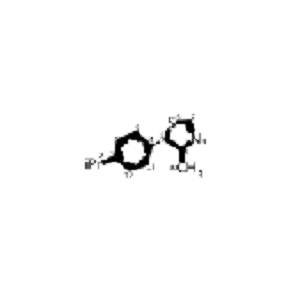 CC(C)c1ccc([C@@H]2SC=NC2C)cc1